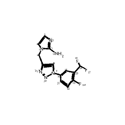 Nc1nccn1Cc1cn(-c2ccc(F)c(C(F)F)c2)nn1